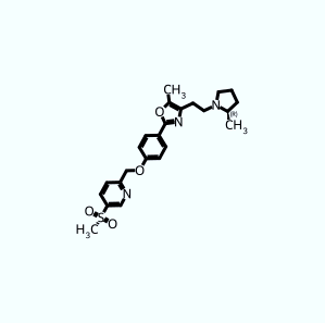 Cc1oc(-c2ccc(OCc3ccc(S(C)(=O)=O)cn3)cc2)nc1CCN1CCC[C@H]1C